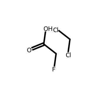 ClCCl.O=C(O)CF